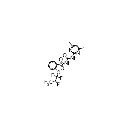 Cc1cc(C)nc(NC(=O)NS(=O)(=O)c2ccccc2OC(F)(F)C(F)C(F)(F)F)n1